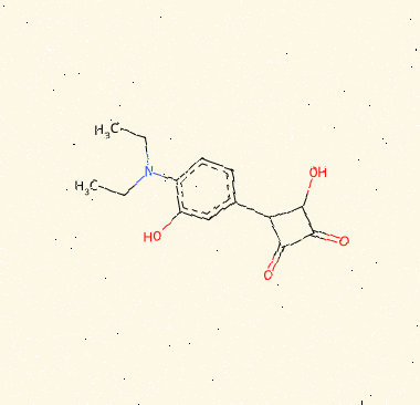 CCN(CC)c1ccc(C2C(=O)C(=O)C2O)cc1O